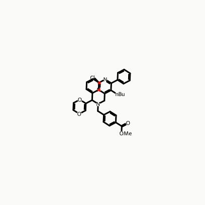 CCCCc1c(CN(Cc2ccc(C(=O)OC)cc2)C(C2=CC=CCC2)C2=COC=CO2)nc(Cl)nc1-c1ccccc1